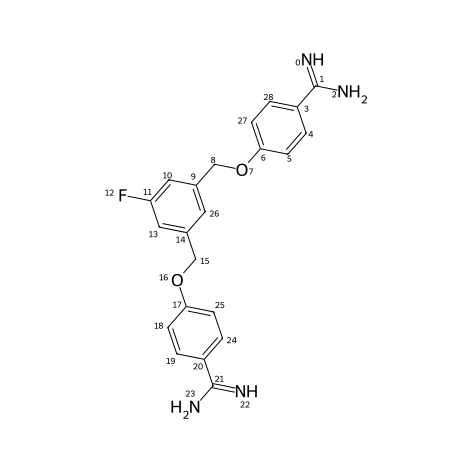 N=C(N)c1ccc(OCc2cc(F)cc(COc3ccc(C(=N)N)cc3)c2)cc1